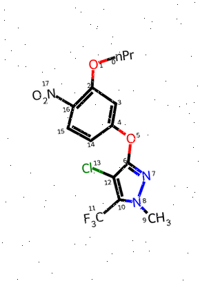 C[CH]COc1cc(Oc2nn(C)c(C(F)(F)F)c2Cl)ccc1[N+](=O)[O-]